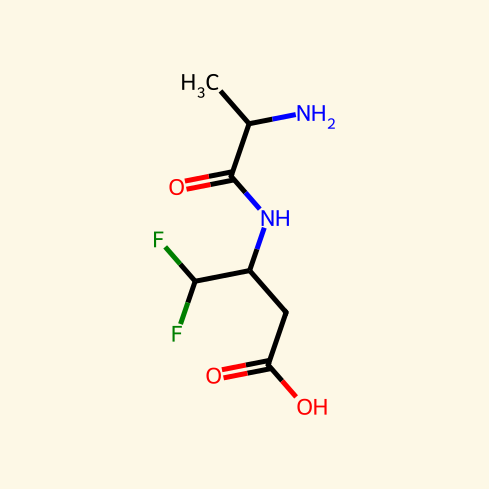 CC(N)C(=O)NC(CC(=O)O)C(F)F